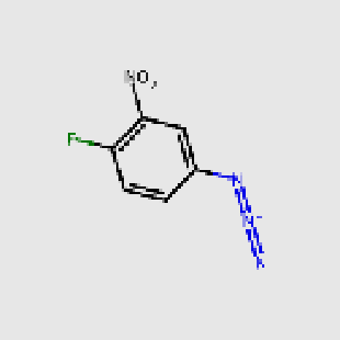 [N-]=[N+]=Nc1ccc(F)c([N+](=O)[O-])c1